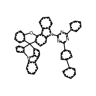 c1ccc(-c2ccc(-c3nc(-c4ccccc4)nc(-n4c5ccccc5c5c6c(ccc54)C4(c5ccccc5O6)c5ccccc5-n5c6ccccc6c6cccc4c65)n3)cc2)cc1